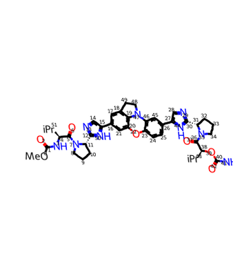 COC(=O)N[C@H](C(=O)N1CCC[C@H]1c1ncc(-c2cc3c4c(c2)Oc2ccc(-c5cnc([C@@H]6CCCN6C(=O)[C@@H](OC(N)=O)C(C)C)[nH]5)cc2N4CC3)[nH]1)C(C)C